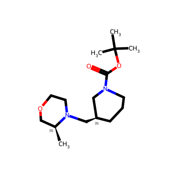 C[C@H]1COCCN1C[C@@H]1CCCN(C(=O)OC(C)(C)C)C1